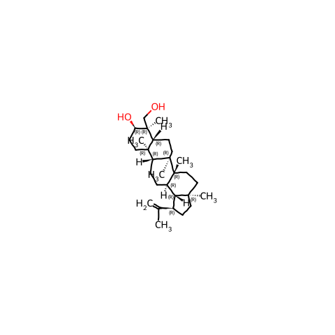 C=C(C)[C@@H]1CC[C@]2(C)CC[C@]3(C)[C@H](CC[C@@H]4[C@@]5(C)CC[C@@H](O)[C@@](C)(CO)[C@@H]5CC[C@]43C)[C@@H]12